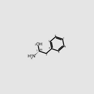 N[C@H](O)[CH]c1ccccc1